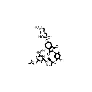 C#CC(C)Oc1cc(N2C(=O)C3=C(CCCC3)C2=O)c(F)cc1Cl.CCNc1nc(Cl)nc(NC(C)C)n1.C[S+](C)C.O=C(O)CNCP(=O)([O-])O